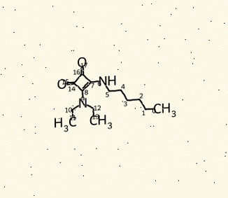 CCCCCCNc1c(N(CC)CC)c(=O)c1=O